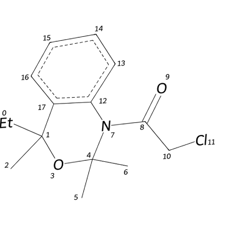 CCC1(C)OC(C)(C)N(C(=O)CCl)c2ccccc21